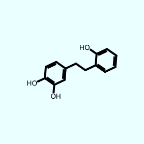 Oc1ccc(CCc2ccccc2O)cc1O